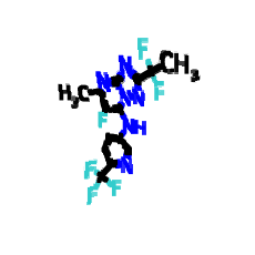 Cc1nc2nc(C(C)(F)F)nn2c(Nc2ccc(C(F)(F)F)nc2)c1F